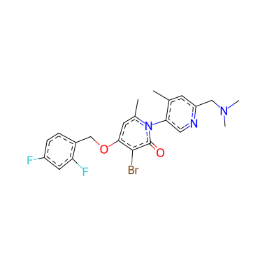 Cc1cc(CN(C)C)ncc1-n1c(C)cc(OCc2ccc(F)cc2F)c(Br)c1=O